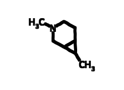 CC1C2CCN(C)CC12